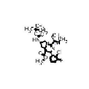 C/N=C(\SC)C1=N[C@@H](c2cccc(F)c2Cl)C(C(=O)OC)=C2C[C@H](NC(=O)OC(C)(C)C)CN12